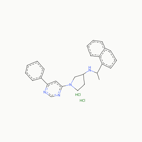 CC(NC1CCN(c2cc(-c3ccccc3)ncn2)C1)c1cccc2ccccc12.Cl.Cl